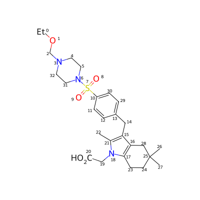 CCOCN1CCN(S(=O)(=O)c2ccc(Cc3c4c(n(CC(=O)O)c3C)CCC(C)(C)C4)cc2)CC1